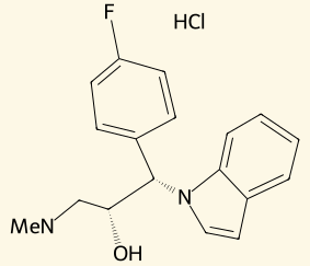 CNC[C@@H](O)[C@H](c1ccc(F)cc1)n1ccc2ccccc21.Cl